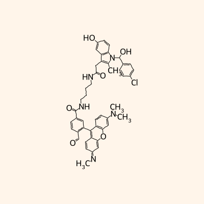 C/N=c1\ccc2c(-c3cc(C(=O)NCCCCNC(=O)Cc4c(C)n(C(O)c5ccc(Cl)cc5)c5ccc(O)cc45)ccc3C=O)c3ccc(N(C)C)cc3oc-2c1